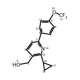 OCc1ccc(-c2ccc(OC(F)(F)F)cc2)nc1C1CC1